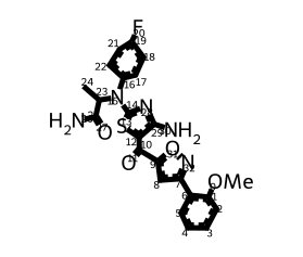 COc1ccccc1-c1cc(C(=O)c2sc(N(c3ccc(F)cc3)C(C)C(N)=O)nc2N)on1